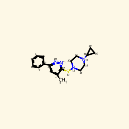 Cc1cc(-c2ccccc2)nnc1SN1CCN(C2CC2)CC1